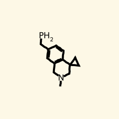 CN1Cc2cc(CP)ccc2C2(CC2)C1